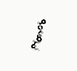 Nc1cccc(C(=O)Nc2ccc3nn(CC(=O)N4CCN(C(=O)c5ccccc5)CC4)cc3c2)n1